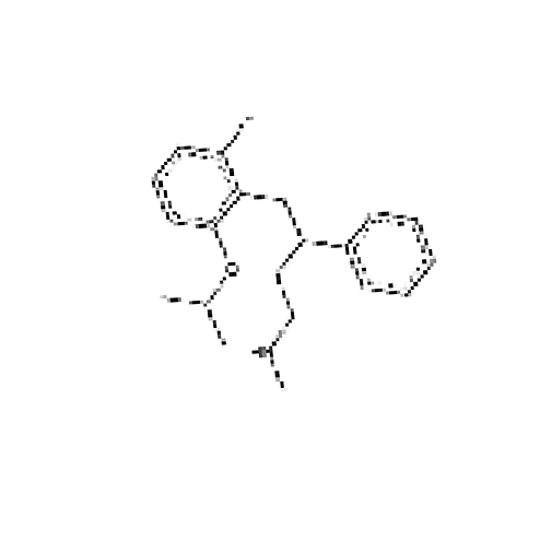 CNCCC(Cc1c(F)cccc1OC(C)C)c1ccccc1